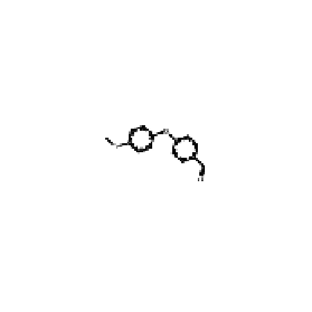 COc1ccc(Oc2ccc(C=O)cc2)cc1